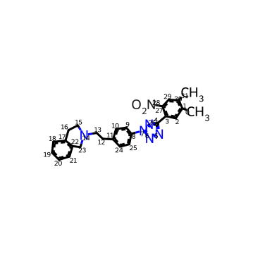 Cc1cc(-c2nnn(-c3ccc(CCN4CCc5ccccc5C4)cc3)n2)c([N+](=O)[O-])cc1C